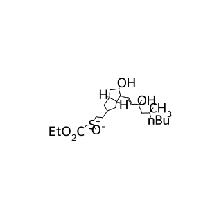 CCCCC(C)CC(O)C=C[C@H]1[C@@H]2CC(CC[S+]([O-])CC(=O)OCC)C[C@H]2C[C@@H]1O